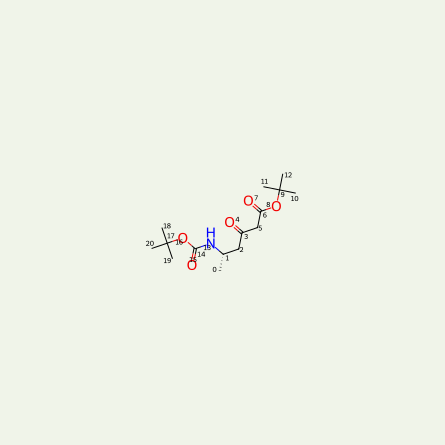 C[C@@H](CC(=O)CC(=O)OC(C)(C)C)NC(=O)OC(C)(C)C